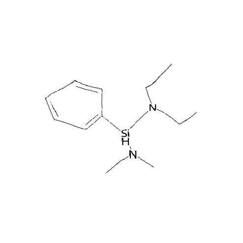 CCN(CC)[SiH](c1ccccc1)N(C)C